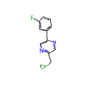 Fc1cccc(-c2cnc(CCl)cn2)c1